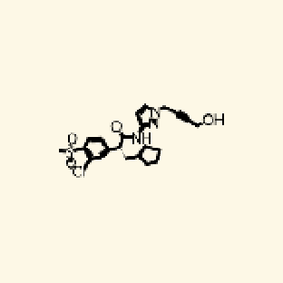 CS(=O)(=O)c1ccc([C@@H](CC2CCCC2)C(=O)Nc2ccn(CC#CCO)n2)cc1Cl